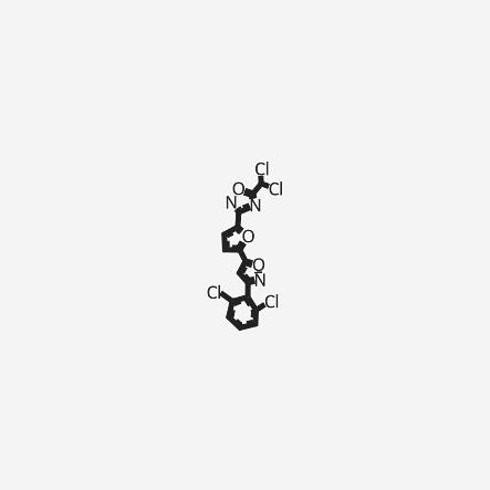 Clc1cccc(Cl)c1-c1cc(-c2ccc(-c3noc(C(Cl)Cl)n3)o2)on1